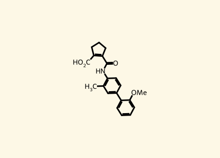 COc1ccccc1-c1ccc(NC(=O)C2=C(C(=O)O)CCC2)c(C)c1